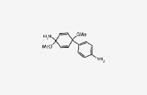 COC1(N)C=CC(OC)(c2ccc(N)cc2)C=C1